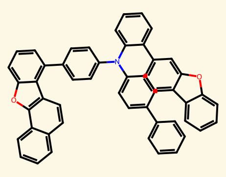 c1ccc(-c2ccc(N(c3ccc(-c4cccc5oc6c7ccccc7ccc6c45)cc3)c3ccccc3-c3ccc4c(c3)oc3ccccc34)cc2)cc1